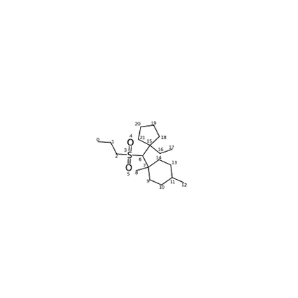 CCCS(=O)(=O)C(C1(C)CCC(C)CC1)C1(CC)CCCC1